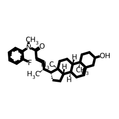 C[C@H](C=CC(=O)N(C)c1ccccc1F)[C@H]1CC[C@H]2[C@@H]3CC=C4CC(O)CC[C@]4(C)[C@H]3CC[C@]12C